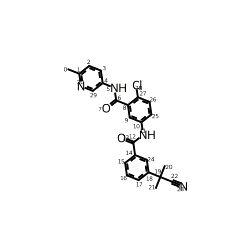 Cc1ccc(NC(=O)c2cc(NC(=O)c3cccc(C(C)(C)C#N)c3)ccc2Cl)cn1